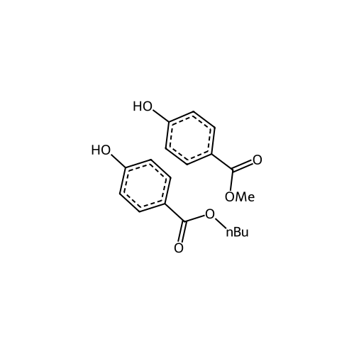 CCCCOC(=O)c1ccc(O)cc1.COC(=O)c1ccc(O)cc1